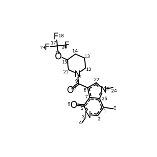 Cc1cn(C)c(=O)c2c(C(=O)N3CCCC(OC(F)(F)F)C3)cn(C)c12